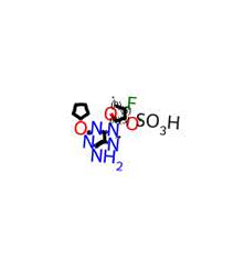 C[C@H]1O[C@@H](n2cnc3c(N)nc(OC4CCCC4)nc32)[C@H](OS(=O)(=O)O)[C@H]1F